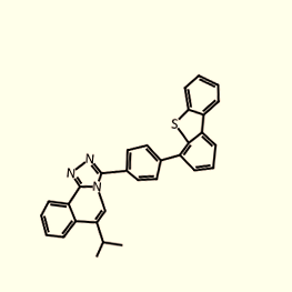 CC(C)c1cn2c(-c3ccc(-c4cccc5c4sc4ccccc45)cc3)nnc2c2ccccc12